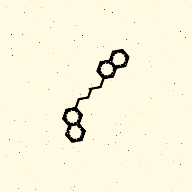 [CH](CCc1ccc2ccccc2c1)Cc1ccc2ccccc2c1